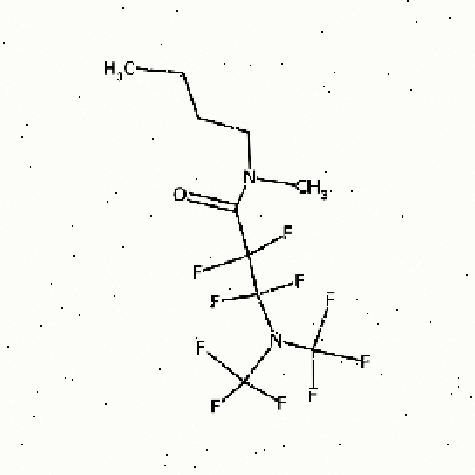 CCCCN(C)C(=O)C(F)(F)C(F)(F)N(C(F)(F)F)C(F)(F)F